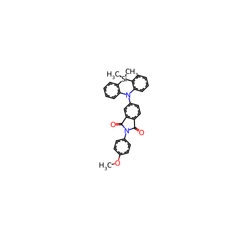 COc1ccc(N2C(=O)c3ccc(N4c5ccccc5[Si](C)(C)c5ccccc54)cc3C2=O)cc1